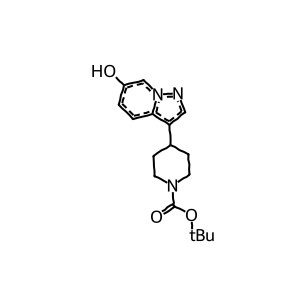 CC(C)(C)OC(=O)N1CCC(c2cnn3cc(O)ccc23)CC1